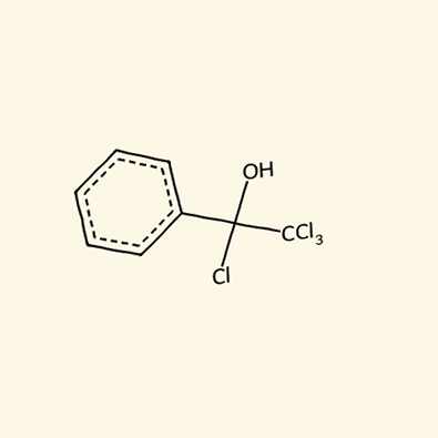 OC(Cl)(c1ccccc1)C(Cl)(Cl)Cl